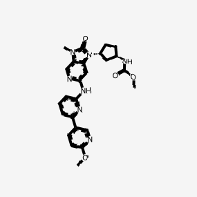 COC(=O)N[C@@H]1CC[C@@H](n2c(=O)n(C)c3cnc(Nc4cccc(-c5ccc(OC)nc5)n4)cc32)C1